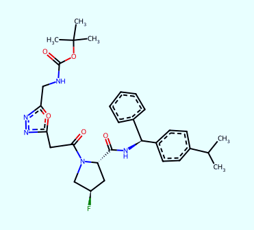 CC(C)c1ccc([C@@H](NC(=O)[C@@H]2C[C@@H](F)CN2C(=O)Cc2nnc(CNC(=O)OC(C)(C)C)o2)c2ccccc2)cc1